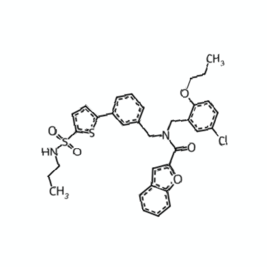 CCCNS(=O)(=O)c1ccc(-c2cccc(CN(Cc3cc(Cl)ccc3OCCC)C(=O)c3cc4ccccc4o3)c2)s1